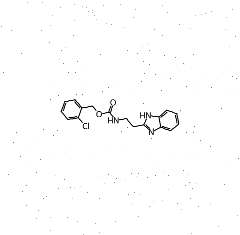 O=C(NCCc1nc2ccccc2[nH]1)OCc1ccccc1Cl